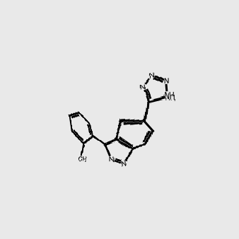 Oc1ccccc1C1N=Nc2ccc(-c3nnn[nH]3)cc21